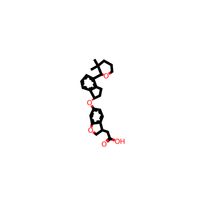 CC1(C)CCCOC1c1cccc2c1CC[C@H]2Oc1ccc2c(c1)OCC2CC(=O)O